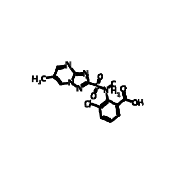 Cc1cnc2nc(S(=O)(=O)N(C)c3c(Cl)cccc3C(=O)O)nn2c1